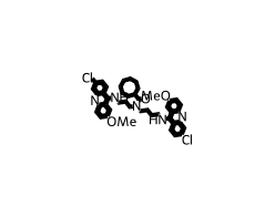 COc1ccc2nc3cc(Cl)ccc3c(NCCCCN(CCCNc3c4ccc(Cl)cc4nc4ccc(OC)cc34)C(=O)C3CCCCCCC3)c2c1